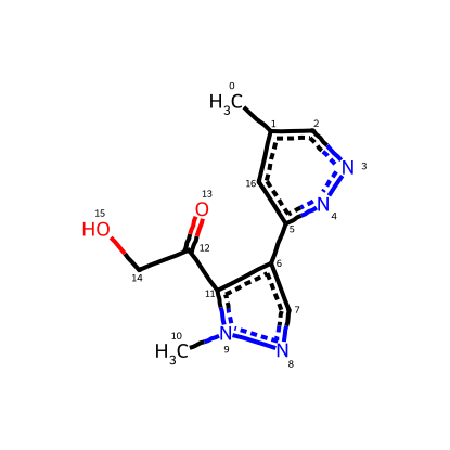 Cc1cnnc(-c2cnn(C)c2C(=O)CO)c1